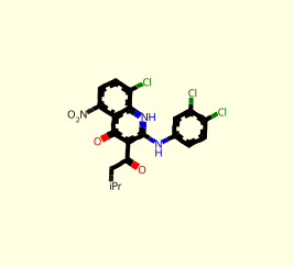 CC(C)CC(=O)c1c(Nc2ccc(Cl)c(Cl)c2)[nH]c2c(Cl)ccc([N+](=O)[O-])c2c1=O